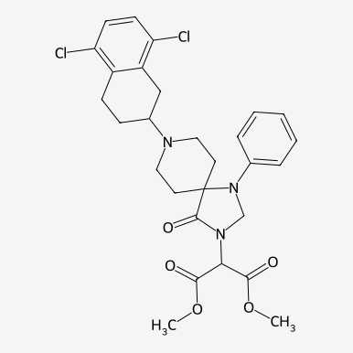 COC(=O)C(C(=O)OC)N1CN(c2ccccc2)C2(CCN(C3CCc4c(Cl)ccc(Cl)c4C3)CC2)C1=O